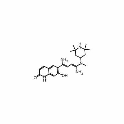 CN(/C(N)=C/C=C(\N)c1cc2ccc(=O)[nH]c2cc1O)C1CC(C)(C)NC(C)(C)C1